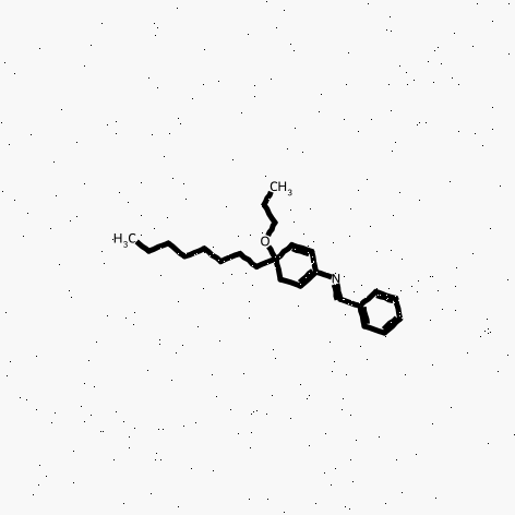 CCCCCCCCC1(OCCC)C=CC(N=Cc2ccccc2)=CC1